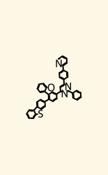 c1ccc(-c2nc(-c3ccc(-c4ccccn4)cc3)cc(-c3ccc(-c4ccc5c(c4)sc4ccccc45)c4c3oc3ccccc34)n2)cc1